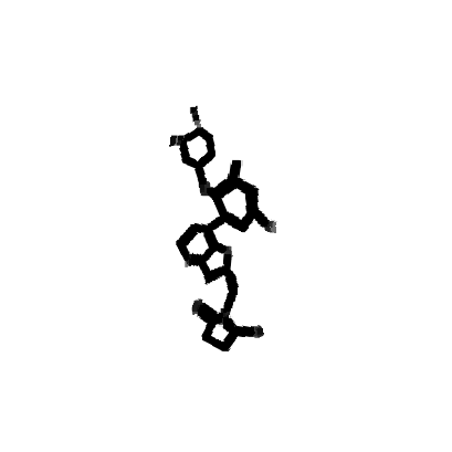 Cc1cc(Cl)cc(-c2ccnc3cc(CN4C(=O)CCC4=O)sc23)c1OC1CC[C@@H](C)NC1